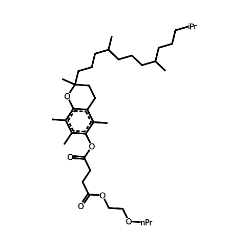 CCCOCCOC(=O)CCC(=O)Oc1c(C)c(C)c2c(c1C)CCC(C)(CCCC(C)CCCC(C)CCCC(C)C)O2